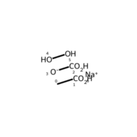 CC(=O)O.O=C([O-])O.OO.[Na+]